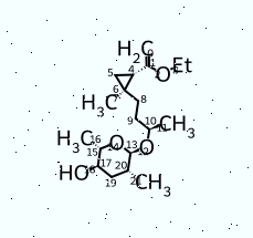 C=C(OCC)[C@H]1C[C@]1(C)CC[C@@H](C)O[C@@H]1O[C@@H](C)[C@H](O)C[C@H]1C